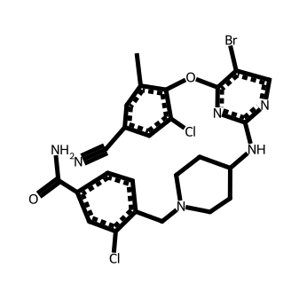 Cc1cc(C#N)cc(Cl)c1Oc1nc(NC2CCN(Cc3ccc(C(N)=O)cc3Cl)CC2)ncc1Br